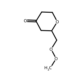 COOCC1CC(=O)CCO1